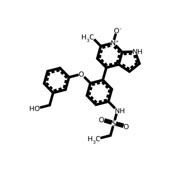 CCS(=O)(=O)Nc1ccc(Oc2cccc(CO)c2)c(-c2cc(C)[n+]([O-])c3[nH]ccc23)c1